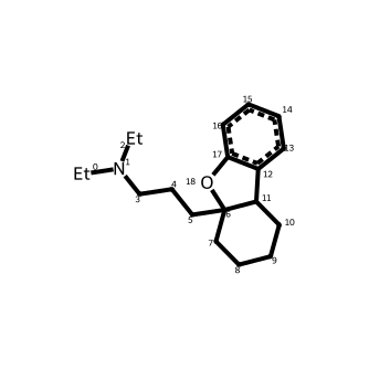 CCN(CC)CCCC12CCCCC1c1ccccc1O2